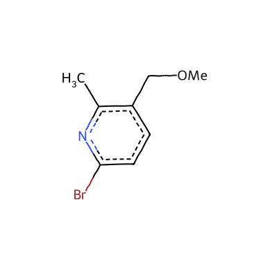 COCc1ccc(Br)nc1C